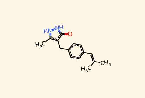 CC(C)=Cc1ccc(Cc2c(C)[nH][nH]c2=O)cc1